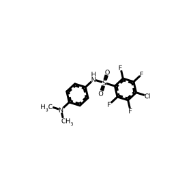 CN(C)c1ccc(NS(=O)(=O)c2c(F)c(F)c(Cl)c(F)c2F)cc1